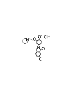 COc1ccc(N2Cc3ccc(Cl)cc3C2=O)cc1OCCN1CCCCC1.Cl